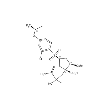 CO[C@@H]1C[C@H](S(=O)(=O)c2ccc(O[C@H](C)C(F)(F)F)cc2Cl)C[C@@]1(C(=O)O)C1CC1(C#N)C(N)=O